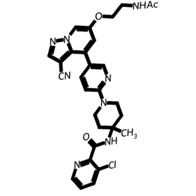 CC(=O)NCCOc1cc(-c2ccc(N3CCC(C)(NC(=O)c4ncccc4Cl)CC3)nc2)c2c(C#N)cnn2c1